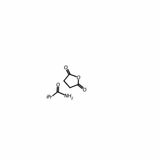 CC(C)C(N)=O.O=C1CCC(=O)O1